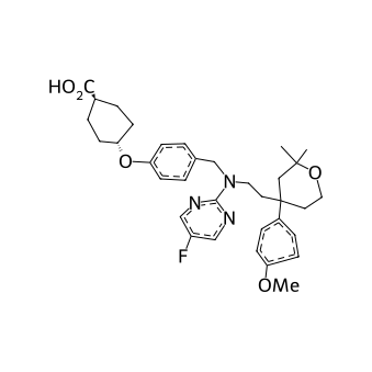 COc1ccc(C2(CCN(Cc3ccc(O[C@H]4CC[C@H](C(=O)O)CC4)cc3)c3ncc(F)cn3)CCOC(C)(C)C2)cc1